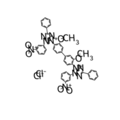 COc1cc(-c2ccc(-[n+]3nc(-c4ccccc4)nn3-c3cccc([N+](=O)[O-])c3)c(OC)c2)ccc1-[n+]1nc(-c2ccccc2)nn1-c1cccc([N+](=O)[O-])c1.[Cl-].[Cl-]